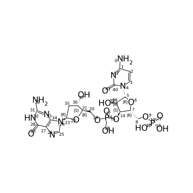 Nc1ccn([C@@H]2O[C@H](COP(=O)(O)O)[C@@H](OP(=O)(O)OC[C@H]3O[C@@H](n4cnc5c(=O)[nH]c(N)nc54)C[C@@H]3O)[C@H]2O)c(=O)n1